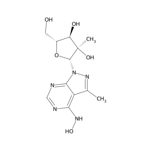 Cc1nn([C@@H]2O[C@H](CO)[C@@H](O)[C@@]2(C)O)c2ncnc(NO)c12